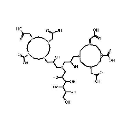 O=C(O)CN1CCN(CC(=O)O)CCN(C(=O)O)CCN(CC(O)CN(CC(O)CN2CCN(CC(=O)O)CCN(C(=O)O)CCN(CC(=O)O)CC2)CC(O)C(O)C(O)C(O)CO)CC1